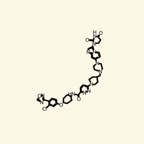 O=C1CCN(c2cnc3cc(N4CCN(CC5CCN(c6ccc(C(=O)NC7CCC(Oc8ccc(-c9ncon9)c(Cl)c8)CC7)nn6)CC5)CC4)ccn23)C(=O)N1